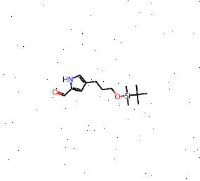 CC(C)(C)[Si](C)(C)OCCCc1c[nH]c(C=O)c1